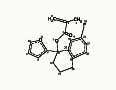 C=C(C)C(=O)OC1(c2ccco2)CCCc2ccc(F)cc21